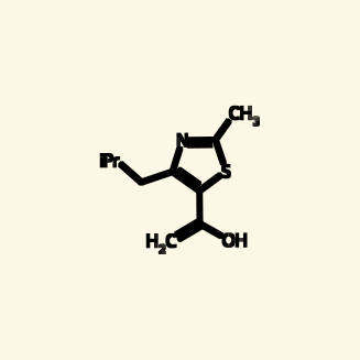 C=C(O)c1sc(C)nc1CC(C)C